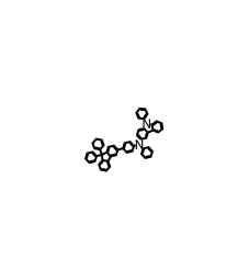 C1=CC(C2(c3ccccc3)c3ccccc3-c3cc(-c4ccc(N(c5ccccc5)c5ccc6c(c5)c5ccccc5n6-c5ccccc5)cc4)ccc32)=CCC1